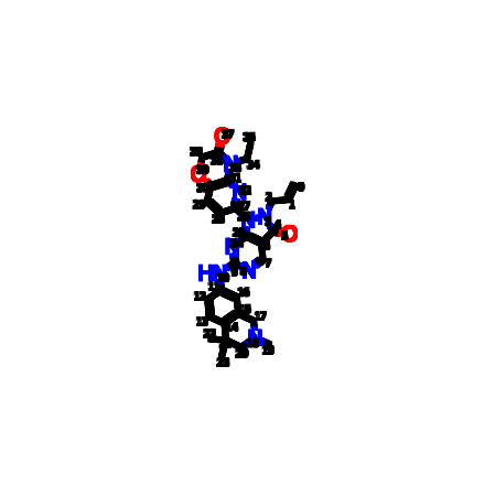 C=CCn1c(=O)c2cnc(Nc3ccc4c(c3)CN(C)CC4(C)C)nc2n1-c1ccc2c(n1)N(CC)C(=O)CO2